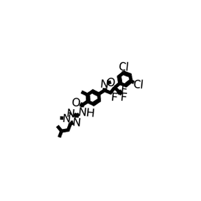 Cc1cc(C2=NOC(c3cc(Cl)cc(Cl)c3)(C(F)(F)F)C2)ccc1C(=O)Nc1nc(CC(C)C)n(C)n1